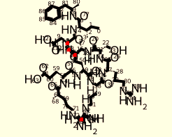 CC[C@H](C)[C@H](NC(=O)[C@H](CC(=O)O)NC(=O)[C@H](C)NC(=O)[C@H](CO)NC(=O)[C@H](CCCNC(=N)N)NC(=O)[C@H](CCCNC(=N)N)NC(=O)[C@H](CCCCN)NC(=O)[C@H](CCC(=O)O)NC(=O)[C@@H](C)CCCNC(=N)N)C(=O)N[C@H](C)Cc1ccccc1